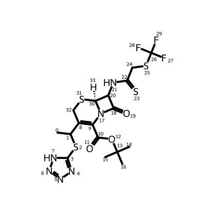 CC(Sc1nnn[nH]1)C1=C(C(=O)OC(C)(C)C)N2C(=O)C(NC(=S)CSC(F)(F)F)[C@@H]2SC1